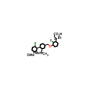 CC[C@@H](CC(=O)O)c1cccc(OCc2ccc(-c3cc(OC)ccc3F)c([C@@H](C)C(C)(C)C)c2)c1F